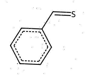 S=Cc1cc[c]cc1